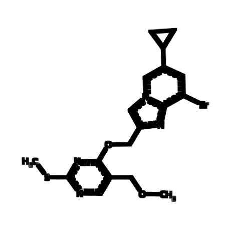 COCc1cnc(SC)nc1OCc1cn2cc(C3CC3)cc(Br)c2n1